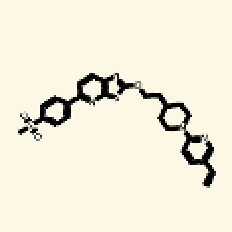 C=Cc1ccc(N2CCC(CCOc3nc4ccc(-c5ccc(S(C)(=O)=O)cc5)nc4s3)CC2)nc1